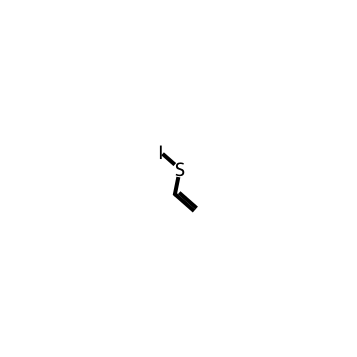 C=CSI